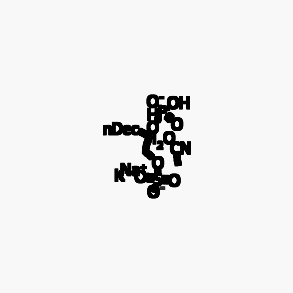 CC#N.CCCCCCCCCCCCOS(=O)(=O)[O-].O.O=P([O-])(O)O.[K+].[Na+]